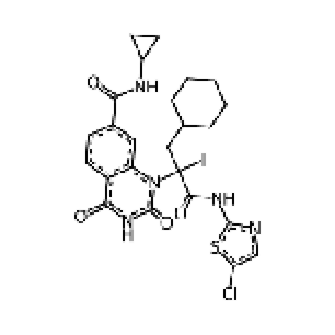 O=C(NC1CC1)c1ccc2c(=O)[nH]c(=O)n(C(I)(CC3CCCCC3)C(=O)Nc3ncc(Cl)s3)c2c1